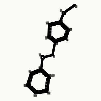 COc1ccc(COc2cc[c]cn2)cc1